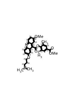 COC(=O)c1cc(C)c(OC(=O)c2c3cc(OC)ccc3nc3ccc(OCCCN(C)C)cc23)c(C)c1